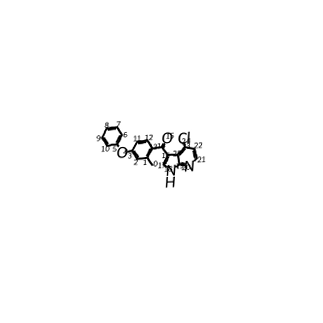 Cc1cc(Oc2ccccc2)ccc1C(=O)c1c[nH]c2nccc(Cl)c12